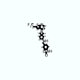 O=c1[nH]c2ccc(CN[C@H]3CCC4(C3)CN(c3ncnc5sc(CC(F)(F)F)cc35)C4)cc2o1